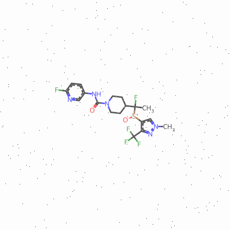 Cn1cc([S+]([O-])C(C)(F)C2CCN(C(=O)Nc3ccc(F)nc3)CC2)c(C(F)(F)F)n1